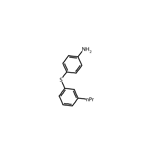 CCCc1cccc(Sc2ccc(N)cc2)c1